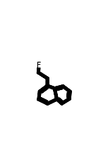 FCCc1cccc2ccccc12